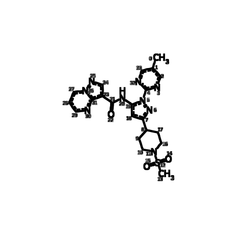 Cc1cnc(-n2nc(C3CCN(S(C)(=O)=O)CC3)cc2NC(=O)c2cnn3cccnc23)nc1